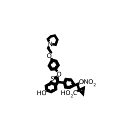 O=C(O)C1(C(O[N+](=O)[O-])c2ccc(-c3c(Oc4ccc(OCCN5CCCCC5)cc4)sc4cc(O)ccc34)cc2)CC1